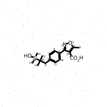 Cc1onc(-c2ccc(CC(C)(C)[Si](C)(C)O)cc2)c1C(=O)O